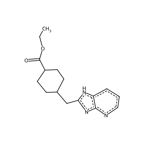 CCOC(=O)C1CCC(Cc2nc3ncccc3[nH]2)CC1